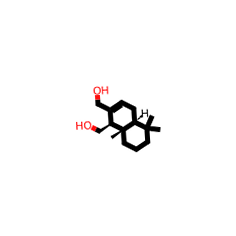 CC1(C)CCC[C@]2(C)[C@@H](CO)C(CO)=CC[C@@H]12